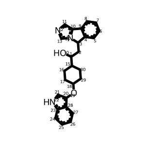 OC(CC1c2ccccc2-c2cncn21)C1CCC(Oc2c[nH]c3ccccc23)CC1